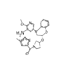 COc1ncc(N2C[C@@H](OC3CCN(C(=O)c4cn(C)cn4)C3)Oc3ccccc32)cc1N